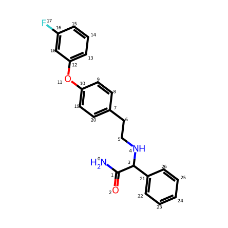 NC(=O)C(NCCc1ccc(Oc2cccc(F)c2)cc1)c1ccccc1